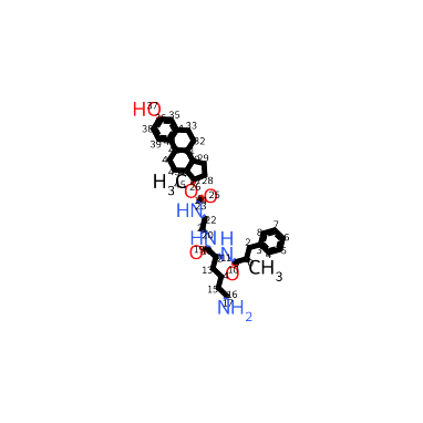 CC(Cc1ccccc1)C(=O)NC(CCCCN)C(=O)NCCNC(=O)OC1CCC2C3CCc4cc(O)ccc4C3CCC12C